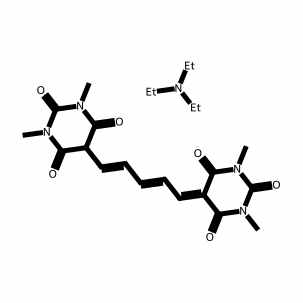 CCN(CC)CC.CN1C(=O)C(=CC=CC=CC2C(=O)N(C)C(=O)N(C)C2=O)C(=O)N(C)C1=O